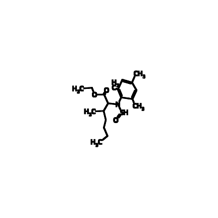 CCCCC(C)C(C(=O)OCC)N([SH]=O)c1c(C)cc(C)cc1C